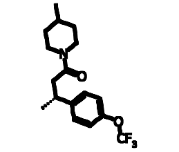 CC1CCN(C(=O)C[C@@H](C)c2ccc(OC(F)(F)F)cc2)CC1